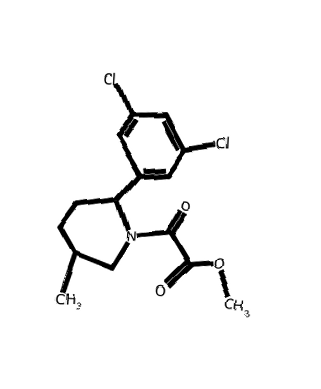 COC(=O)C(=O)N1CC(C)CCC1c1cc(Cl)cc(Cl)c1